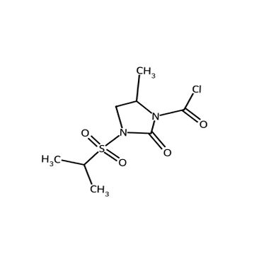 CC1CN(S(=O)(=O)C(C)C)C(=O)N1C(=O)Cl